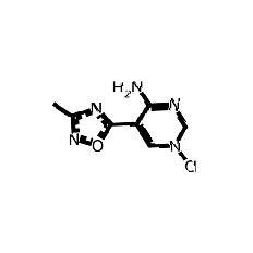 Cc1noc(C2=CN(Cl)CN=C2N)n1